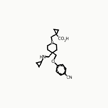 N#Cc1ccc(OCC2(CNC3CC3)CCN(CC3(C(=O)O)CC3)CC2)cc1